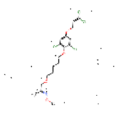 CCON=C(C)COCCCCCOc1c(Cl)cc(OCC=C(Cl)Cl)cc1Cl